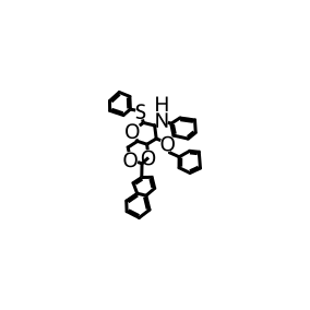 c1ccc(COC2C(Nc3ccccc3)C(Sc3ccccc3)OC3COC(c4ccc5ccccc5c4)OC32)cc1